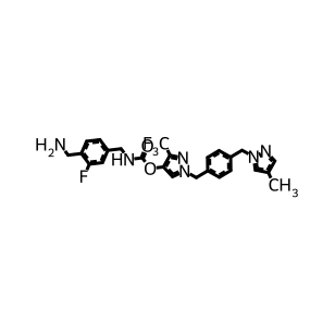 Cc1cnn(Cc2ccc(Cn3cc(OC(=O)NCc4ccc(CN)c(F)c4)c(C(F)(F)F)n3)cc2)c1